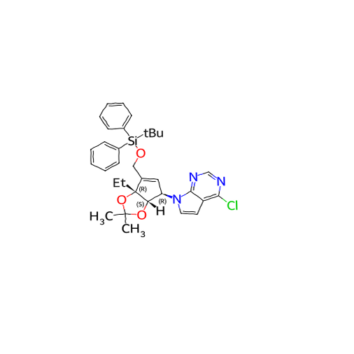 CC[C@]12OC(C)(C)O[C@H]1[C@H](n1ccc3c(Cl)ncnc31)C=C2CO[Si](c1ccccc1)(c1ccccc1)C(C)(C)C